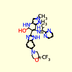 C[C@H](NC1=C(c2nc3ccc(N4CCO[C@@H](C(F)(F)F)C4)cc3[nH]2)C(O)Nc2cn(C)nc21)c1ncccn1